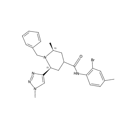 Cc1ccc(NC(=O)C2C[C@H](C)N(Cc3ccccc3)[C@H](c3cn(C)nn3)C2)c(Br)c1